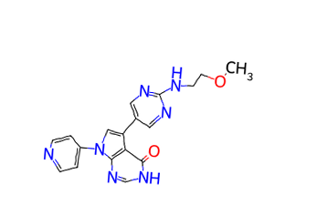 COCCNc1ncc(-c2cn(-c3ccncc3)c3nc[nH]c(=O)c23)cn1